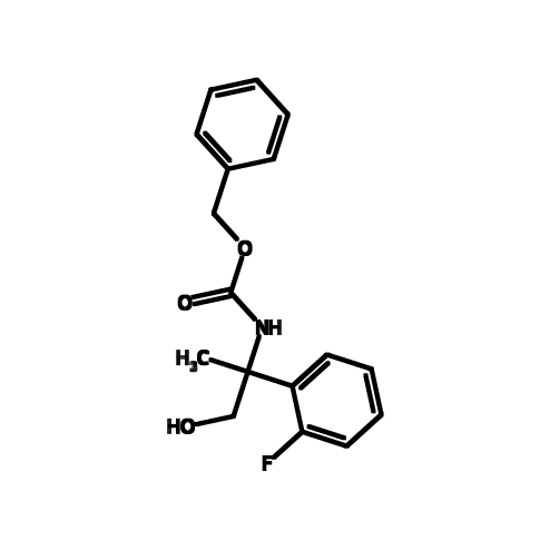 CC(CO)(NC(=O)OCc1ccccc1)c1ccccc1F